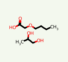 CC(O)CO.CCCCOCC(=O)O